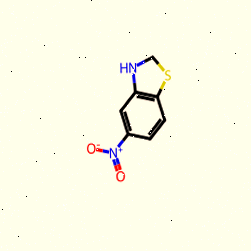 O=[N+]([O-])c1ccc2c(c1)NCS2